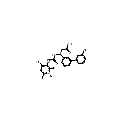 Cc1cc(O)c(NC(=O)N[C@@H](CC(=O)O)c2cccc(-c3cccc(Cl)c3)c2)c(=O)n1C